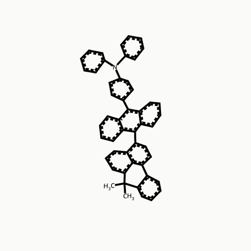 CC1(C)c2ccccc2-c2ccc(-c3c4ccccc4c(-c4ccc(N(c5ccccc5)c5ccccc5)cc4)c4ccccc34)c3cccc1c23